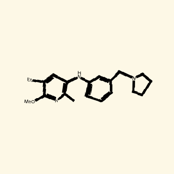 CCc1cc(Nc2cccc(CN3CCCC3)c2)c(C)nc1OC